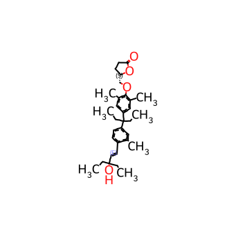 CCC(O)(/C=C/c1ccc(C(CC)(CC)c2cc(C)c(OC[C@@H]3CCC(=O)O3)c(C)c2)cc1C)CC